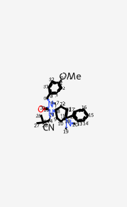 COc1ccc(CN2C[C@]3(CC[C@](c4ccccc4)(N(C)C)CC3)N(CC(C)(C)C#N)C2=O)cc1